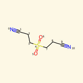 N#CCCS(=O)(=O)CCC#N